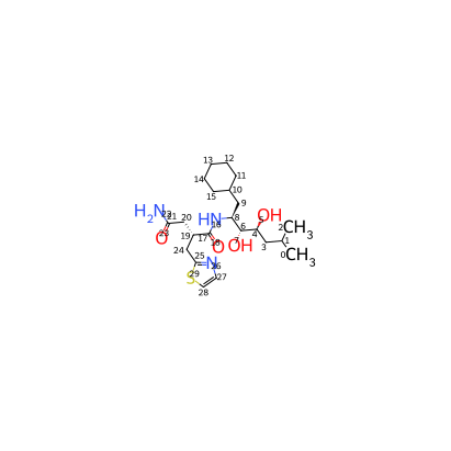 CC(C)C[C@H](O)[C@H](O)[C@H](CC1CCCCC1)NC(=O)[C@@H](CC(N)=O)Cc1nccs1